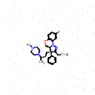 CC(=O)N1CCN(C(C)CC[C@]2(c3ccccc3)C(CC=O)=NN3c4cc(F)ccc4OCC32)CC1